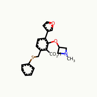 CN1CC(Oc2c(-c3ccoc3)ccc(CSc3ccccc3)c2C(=O)O)C1